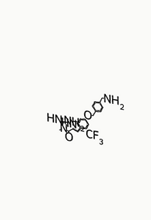 CN(C(=N)N)C(=O)c1cc2c(C(F)(F)F)cc(OCc3ccc(CN)cc3)cc2[nH]1